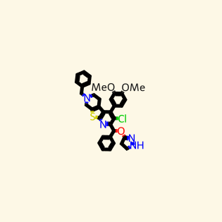 COc1ccc(-c2c(Cl)c(C(OC3=NNCC3)c3ccccc3)nc3sc4c(c23)CCN(Cc2ccccc2)C4)cc1OC